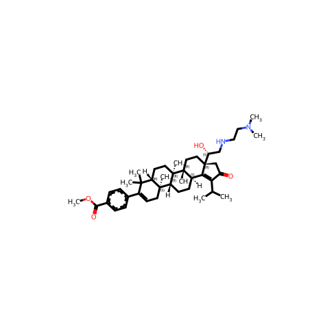 COC(=O)c1ccc(C2=CC[C@]3(C)[C@H]4CC[C@@H]5C6=C(C(C)C)C(=O)C[C@]6([C@H](O)CNCCN(C)C)CC[C@@]5(C)[C@]4(C)CC[C@H]3C2(C)C)cc1